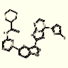 O=C(Nc1cncc(-c2ccc3[nH]nc(-c4nc5c(-c6ccc(Cl)s6)ccnc5[nH]4)c3n2)c1)C1CCCCC1